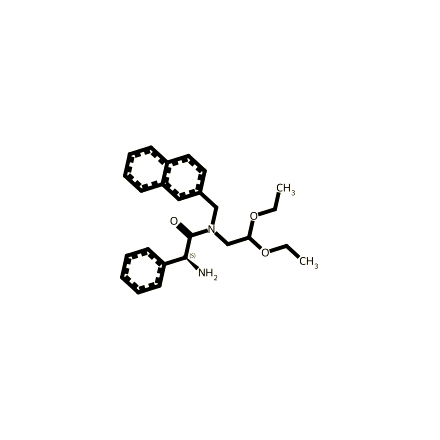 CCOC(CN(Cc1ccc2ccccc2c1)C(=O)[C@@H](N)c1ccccc1)OCC